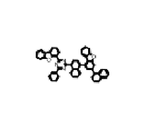 c1ccc(-c2nc(-c3ccc(-c4cc(-c5cccc6ccccc56)cc5oc6ccccc6c45)c4ccccc34)nc(-c3cccc4c3oc3ccccc34)n2)cc1